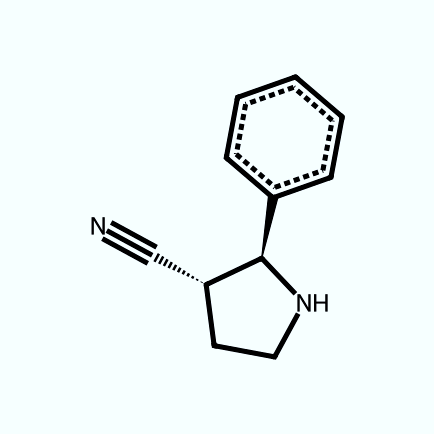 N#C[C@H]1CCN[C@@H]1c1ccccc1